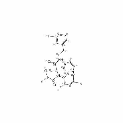 Cc1ccc(N(C(=O)[C@H](F)Cl)[C@@](C)(C(=O)NCCc2cccc(F)c2)c2cncnc2)c(F)c1